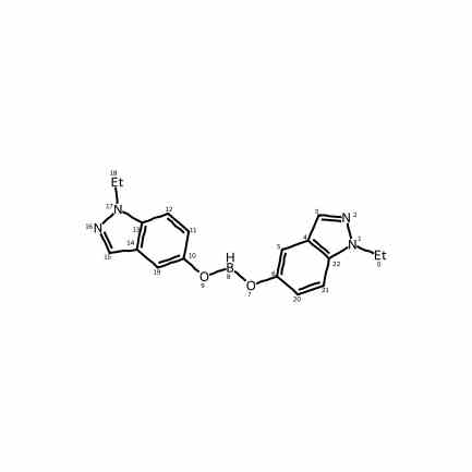 CCn1ncc2cc(OBOc3ccc4c(cnn4CC)c3)ccc21